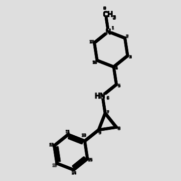 CN1CCC(CNC2CC2c2ccccc2)CC1